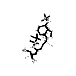 C[C@H](CCC(C[C@@](C)(O)CO)O[Si](C)(C)C(C)(C)C)[C@H]1CCC2C(O[Si](C)(C)C)CCC[C@@]21C